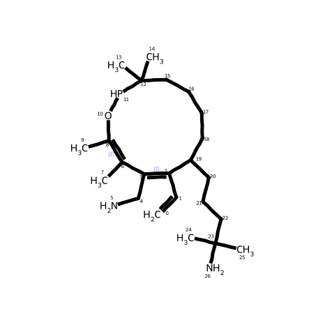 C=C/C1=C(CN)/C(C)=C(/C)OPC(C)(C)CCCCC1CCCC(C)(C)N